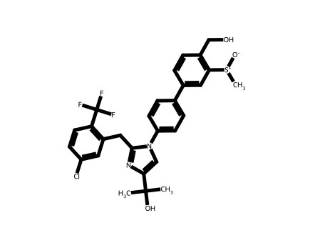 C[S+]([O-])c1cc(-c2ccc(-n3cc(C(C)(C)O)nc3Cc3cc(Cl)ccc3C(F)(F)F)cc2)ccc1CO